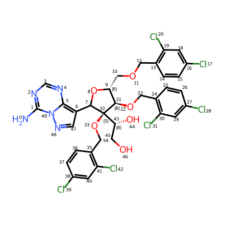 Nc1ncnc2c(C3O[C@H](COCc4ccc(Cl)cc4Cl)[C@@H](OCc4ccc(Cl)cc4Cl)[C@]3(OCc3ccc(Cl)cc3Cl)[C@H](O)CO)cnn12